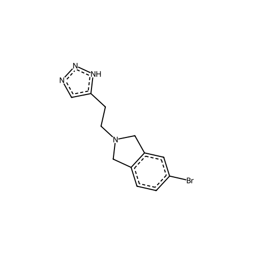 Brc1ccc2c(c1)CN(CCc1cnn[nH]1)C2